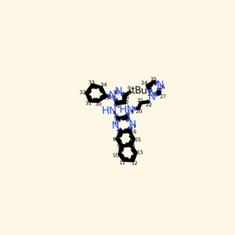 CC(C)(C)c1cc(Nc2nc3cc4ccccc4cc3nc2NCCCn2ccnc2)n(-c2ccccc2)n1